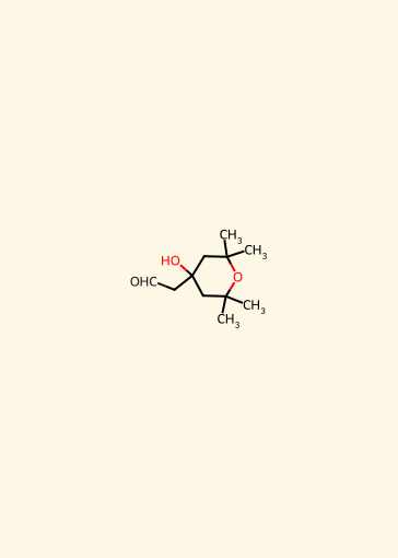 CC1(C)CC(O)(CC=O)CC(C)(C)O1